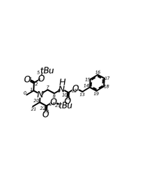 CC(C(=O)OC(C)(C)C)N(CCNC(=O)OCc1ccccc1)C(C)C(=O)OC(C)(C)C